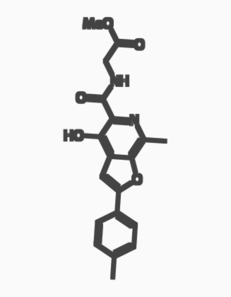 COC(=O)CNC(=O)c1nc(C)c2oc(-c3ccc(C)cc3)cc2c1O